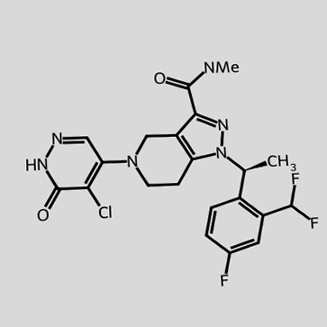 CNC(=O)c1nn([C@@H](C)c2ccc(F)cc2C(F)F)c2c1CN(c1cn[nH]c(=O)c1Cl)CC2